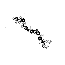 C=C(Nc1cccc(CS(=O)(=O)N2CCC(Nc3cccc(-c4sc(C(=O)O)c(OCC(=O)O)c4Cl)c3)CC2)c1)C1CCN(C(=O)CNc2cccc3c2C(=O)N(C2CCC(=O)NC2=O)C3=O)CC1